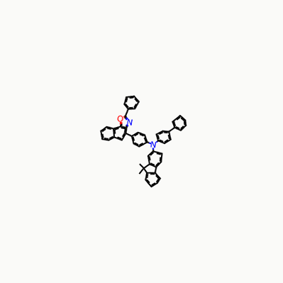 CC1(C)c2ccccc2-c2ccc(N(c3ccc(-c4ccccc4)cc3)c3ccc(-c4cc5ccccc5c5oc(-c6ccccc6)nc45)cc3)cc21